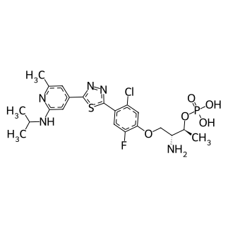 Cc1cc(-c2nnc(-c3cc(F)c(OC[C@@H](N)[C@H](C)OP(=O)(O)O)cc3Cl)s2)cc(NC(C)C)n1